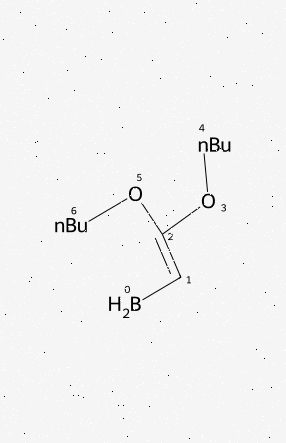 BC=C(OCCCC)OCCCC